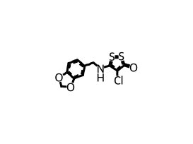 O=c1ssc(NCc2ccc3c(c2)OCO3)c1Cl